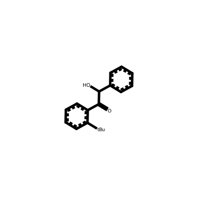 CC(C)(C)c1ccccc1C(=O)C(O)c1ccccc1